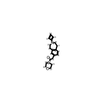 O=C(Cc1ccc2c(c1)CCN(C1=CC=C1)CC2)N1CCOCC1